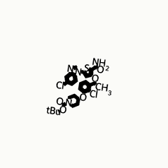 CC(Oc1cc(-n2cnc3cc(Cl)ccc32)sc1C(N)=O)c1cccc(OC2CCN(C(=O)OC(C)(C)C)CC2)c1Cl